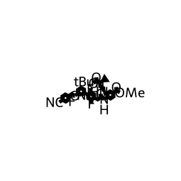 COC(=O)c1ccc(NC(=O)Cc2cc(F)c(-c3cccc(OCc4ccc(C#N)cc4F)n3)cc2F)c(NCCN(C(=O)OC(C)(C)C)C2CC2)c1